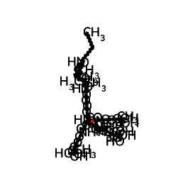 CCCCCCCC/C=C\CCCCCCCC(=O)N[C@H]1CC[C@@]2(C)C(CCC3C4CCC(C(C)CCC(=O)N(C)CC(=O)NCCOCCOCCOCCOCCC(=O)NC(COCCC(=O)NCCOCCOCCOC5OC(CO)C(O)C(O)C5C)(COCCC(=O)NCCOCCOCCOC5OC(CO)C(O)C(O)C5C)COCCC(=O)NCCOCCOCCOC5OC(CO)C(O)C(O)C5C)[C@@]4(C)CCC32)C1